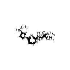 CNC1CCN(c2ccnc(NCC(C)(C)C)n2)C1